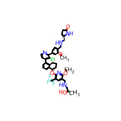 COc1cc(-c2nccc(-c3cccc4c3CCC[C@@H]4Oc3nc(OC)c(CNC[C@@H](C)O)cc3C(F)(F)F)c2Cl)ccc1CNC[C@H]1CCC(=O)N1